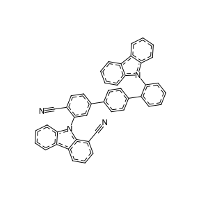 N#Cc1ccc(-c2ccc(-c3ccccc3-n3c4ccccc4c4ccccc43)cc2)cc1-n1c2ccccc2c2cccc(C#N)c21